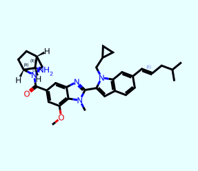 COc1cc(C(=O)N2C[C@H]3CC[C@@H]2[C@H]3N)cc2nc(-c3cc4ccc(/C=C/CC(C)C)cc4n3CC3CC3)n(C)c12